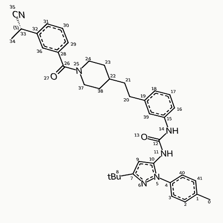 Cc1ccc(-n2nc(C(C)(C)C)cc2NC(=O)Nc2cccc(CCC3CCN(C(=O)c4cccc([C@H](C)C#N)c4)CC3)c2)cc1